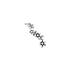 C=CS(=O)(=O)NC[C@H]1CCN(S(=O)(=O)c2ccc(C(=O)NCc3ccc(F)c(F)c3)cc2)C1